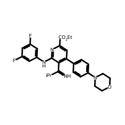 CCOC(=O)c1cc(-c2ccc(N3CCOCC3)cc2)c(C(=N)C(C)C)c(Nc2cc(F)cc(F)c2)n1